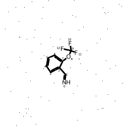 N=Cc1ccccc1OC(F)(F)F